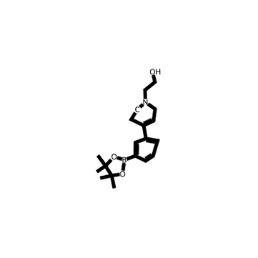 CC1(C)OB(c2cccc(C3=CCN(CCO)CC3)c2)OC1(C)C